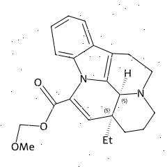 CC[C@@]12C=C(C(=O)OCOC)n3c4c(c5ccccc53)CCN(CCC1)[C@H]42